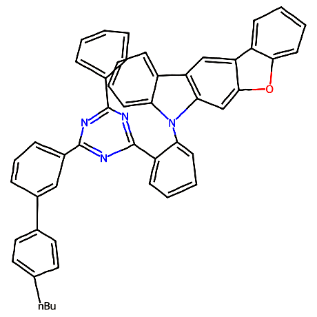 CCCCc1ccc(-c2cccc(-c3nc(-c4ccccc4)nc(-c4ccccc4-n4c5ccccc5c5cc6c(cc54)oc4ccccc46)n3)c2)cc1